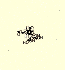 CC(=O)OCC(=O)Nc1c(I)c(C(=O)Cl)c(I)c(C(=O)N(CC(O)CO)CC(O)CO)c1I